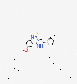 COc1ccc2[nH]c(=S)n(CCc3ccccc3)c(=N)c2c1